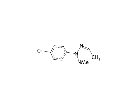 C/C=N\N(NC)c1ccc(Cl)cc1